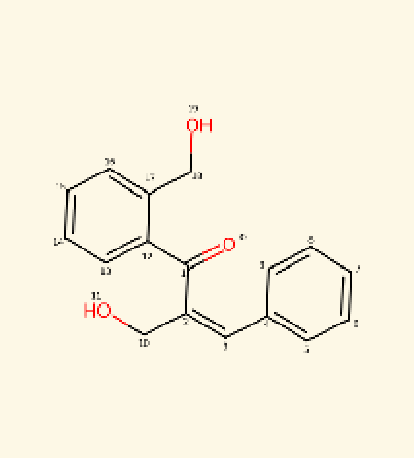 O=C(C(=Cc1ccccc1)CO)c1ccccc1CO